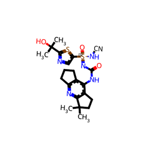 CC(C)(O)c1ncc([S@@](=O)(=NC(=O)Nc2c3c(nc4c2CCC4(C)C)CCC3)NC#N)s1